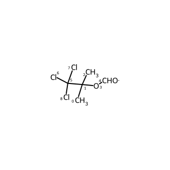 CC(C)(O[C]=O)C(Cl)(Cl)Cl